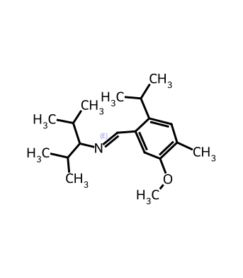 COc1cc(/C=N/C(C(C)C)C(C)C)c(C(C)C)cc1C